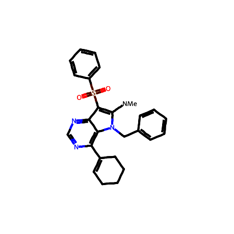 CNc1c(S(=O)(=O)c2ccccc2)c2ncnc(C3=CCCCC3)c2n1Cc1ccccc1